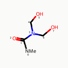 CNC(=O)N(CO)CO